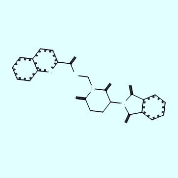 O=C(OCN1C(=O)CCC(N2C(=O)c3ccccc3C2=O)C1=O)c1ccc2ccccc2n1